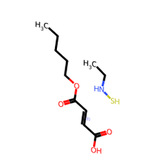 CCCCCOC(=O)/C=C/C(=O)O.CCNS